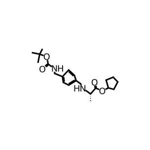 C[C@H](NCc1ccc(CNC(=O)OC(C)(C)C)cc1)C(=O)OC1CCCC1